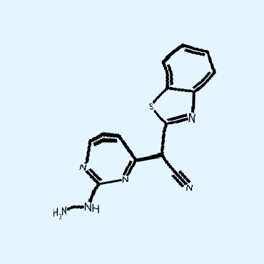 N#CC(c1ccnc(NN)n1)c1nc2ccccc2s1